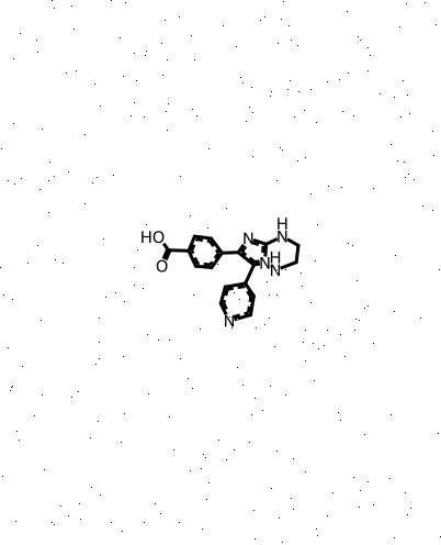 O=C(O)c1ccc(-c2nc3n(c2-c2ccncc2)NCCN3)cc1